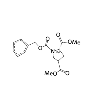 COC(=O)C1C[C@@H](C(=O)OC)N(C(=O)OCc2ccccc2)C1